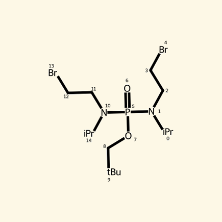 CC(C)N(CCBr)P(=O)(OCC(C)(C)C)N(CCBr)C(C)C